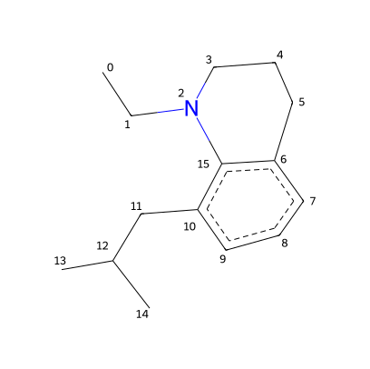 CCN1CCCc2cccc(CC(C)C)c21